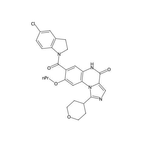 CCCOc1cc2c(cc1C(=O)N1CCc3cc(Cl)ccc31)[nH]c(=O)c1cnc(C3CCOCC3)n12